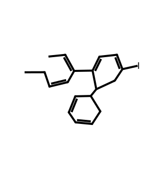 C/C=C(\C=C/CC)C1=CC=C(I)CC1C1C=CC=CC1